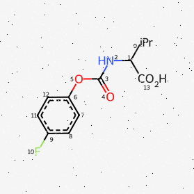 CC(C)C(NC(=O)Oc1ccc(F)cc1)C(=O)O